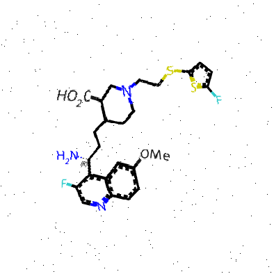 COc1ccc2ncc(F)c([C@H](N)CCC3CCN(CCSc4ccc(F)s4)CC3C(=O)O)c2c1